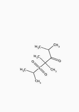 CC(C)C(=O)C(C)(C)S(=O)(=O)C(C)C